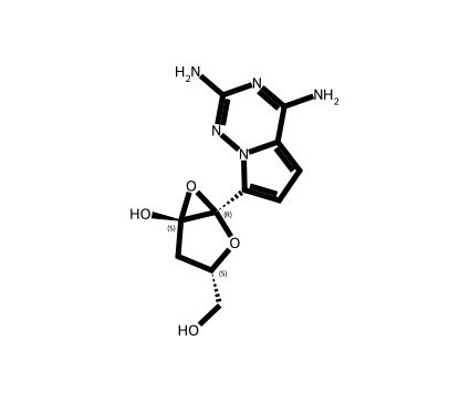 Nc1nc(N)c2ccc([C@]34O[C@H](CO)C[C@]3(O)O4)n2n1